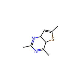 CC1=CC2N=C(C)N=C(C)C2S1